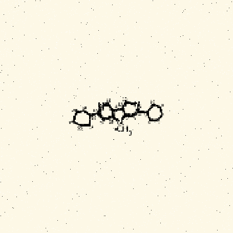 Cn1c2cc(C3CCCCC3)ncc2c2cnc(C3CCCCC3)cc21